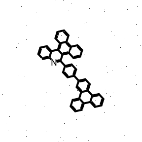 c1ccc2c(c1)nc(-c1ccc(-c3ccc4c5ccccc5c5ccccc5c4c3)cc1)c1c3ccccc3c3ccccc3c21